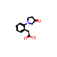 O=C(O)Cc1ccccc1N1CCC(=O)C1